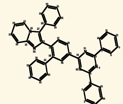 c1ccc(-c2nc(-c3ccccc3)nc(-c3ccc(-c4nc5ccccn5c4-c4ccccc4)c(-c4ccccc4)c3)n2)cc1